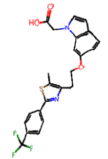 Cc1sc(-c2ccc(C(F)(F)F)cc2)nc1CCOc1ccc2ccn(CC(=O)O)c2c1